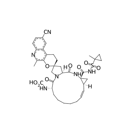 Cc1nc2ccc(C#N)cc2c2c1O[C@]1(CC2)C[C@H]2C(=O)N[C@]3(C(=O)NS(=O)(=O)C4(C)CC4)C[C@H]3C=CCCCCC[C@H](NC(=O)O)C(=O)N2C1